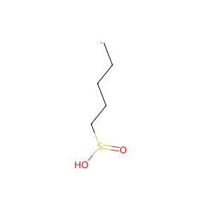 [CH2]CCCCS(=O)O